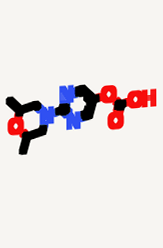 CC1CN(c2ncc(OC(=O)O)cn2)CC(C)O1